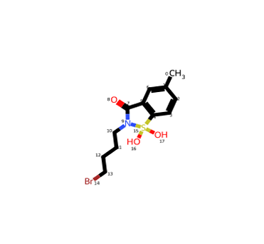 Cc1ccc2c(c1)C(=O)N(CCCCBr)S2(O)O